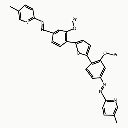 Cc1ccc(N=Nc2ccc(-c3ccc(-c4ccc(N=Nc5ccc(C)cn5)cc4OC(C)C)o3)c(OC(C)C)c2)nc1